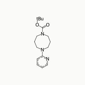 CC(C)(C)OC(=O)N1CCCN(c2ccccn2)CCC1